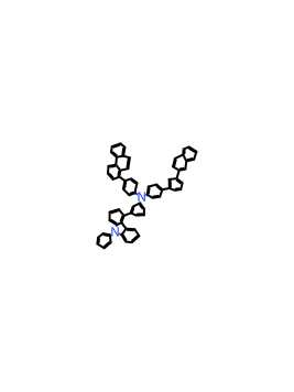 c1ccc(-n2c3ccccc3c3c(-c4cccc(N(c5ccc(-c6cccc(-c7ccc8ccccc8c7)c6)cc5)c5ccc(-c6cccc7c6ccc6ccccc67)cc5)c4)cccc32)cc1